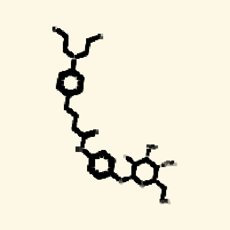 CC(=O)OC[C@H]1O[C@@H](Oc2ccc(NC(=O)CCCc3ccc(N(CCCl)CCCl)cc3)cc2)[C@@H](F)[C@@H](OC(C)=O)[C@@H]1OC(C)=O